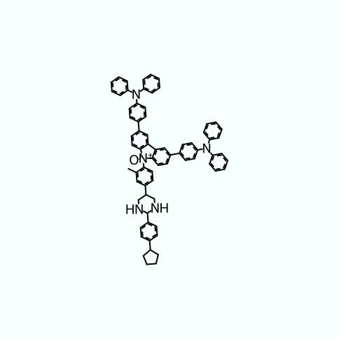 Cc1cc(C2CNC(c3ccc(C4CCCC4)cc3)NC2)ccc1[N+]1([O-])c2ccc(-c3ccc(N(c4ccccc4)c4ccccc4)cc3)cc2-c2cc(-c3ccc(N(c4ccccc4)c4ccccc4)cc3)ccc21